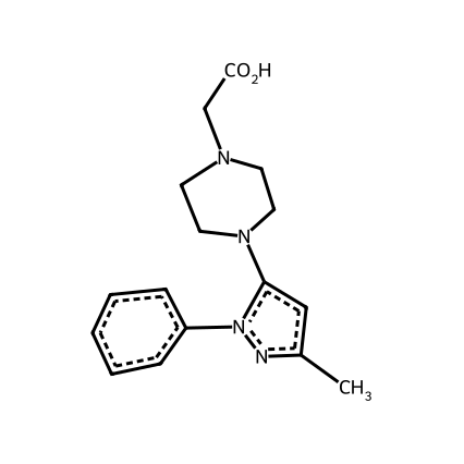 Cc1cc(N2CCN(CC(=O)O)CC2)n(-c2ccccc2)n1